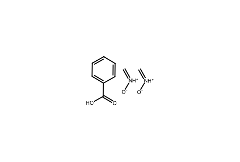 C=[NH+][O-].C=[NH+][O-].O=C(O)c1ccccc1